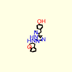 CN(C)C(Cc1ccc(O)cc1)C1(NC(=NC#N)NC2COc3ccccc3C2)CC1